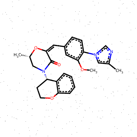 COc1cc(C=C2O[C@@H](C)CN([C@H]3CCOc4ccccc43)C2=O)ccc1-n1cnc(C)c1